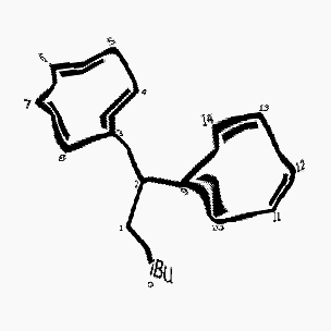 [CH2]CC(C)CC(c1ccccc1)c1ccccc1